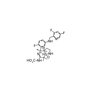 CC1(C)C(NC(=O)O)=N[C@](C)(c2cc(NCc3ncc(F)cc3F)ccc2F)[C@@H]2CCN[SH]21=O